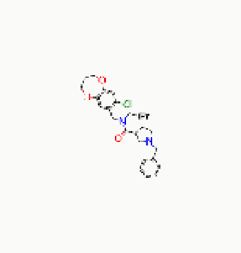 CC(C)CN(Cc1cc2c(cc1Cl)OCCCO2)C(=O)C1CCN(Cc2ccccc2)C1